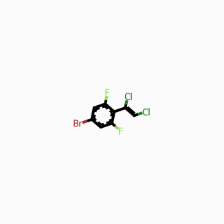 Fc1cc(Br)cc(F)c1C(Cl)=CCl